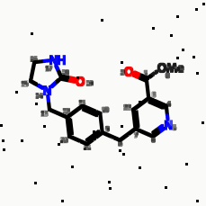 COC(=O)c1cncc(Cc2ccc(CN3CCNC3=O)cc2)c1